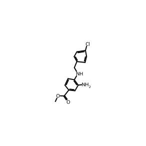 COC(=O)c1ccc(NCc2ccc(Cl)cc2)c(N)c1